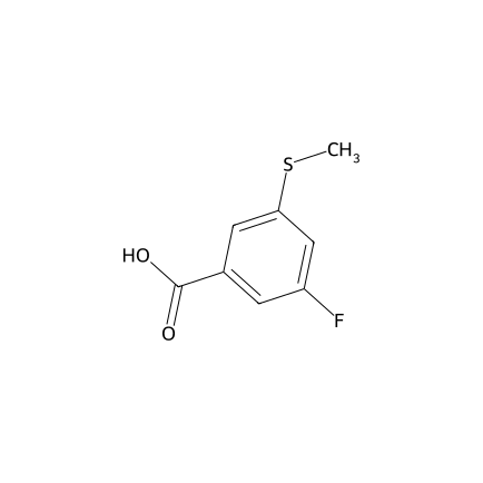 CSc1cc(F)cc(C(=O)O)c1